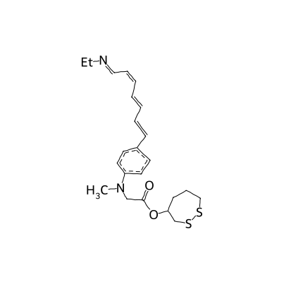 CC/N=C/C=C\C=C\C=C\c1ccc(N(C)CC(=O)OC2CCCSSC2)cc1